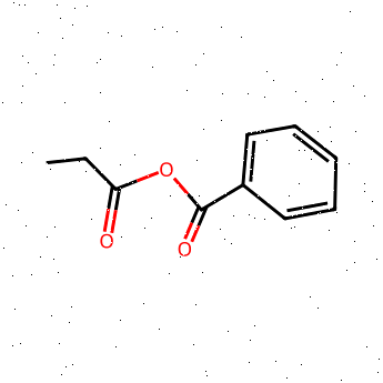 CCC(=O)OC(=O)c1ccccc1